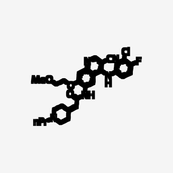 CCCN1CCC(=CC(=O)Nc2cc3c(Nc4ccc(F)c(Cl)c4)c(C#N)cnc3cc2OCCOC)CC1